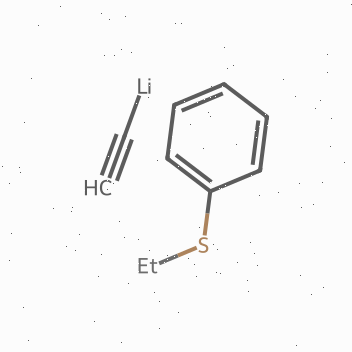 CCSc1ccccc1.[Li][C]#C